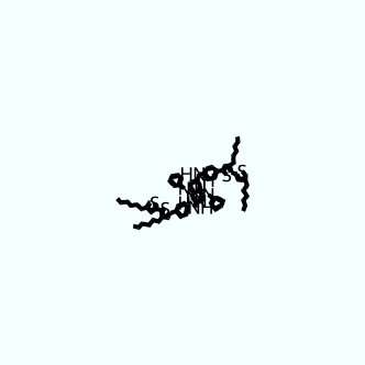 CCCCCCc1csc(-c2sc(-c3ccc(Nc4cc(Nc5ccccc5)c5nc(Nc6ccc(-c7cc(CCCCCC)c(-c8cc(CCCCCC)cs8)s7)cc6)nc(Nc6ccccc6)c5n4)cc3)cc2CCCCCC)c1